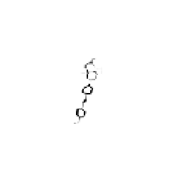 CCc1ccc(C#Cc2ccc([C@@H]3CC[C@@H]4CC(CC)CC[C@@H]4C3)cc2)cc1